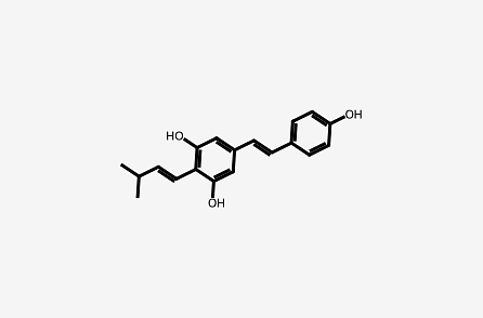 CC(C)/C=C/c1c(O)cc(/C=C/c2ccc(O)cc2)cc1O